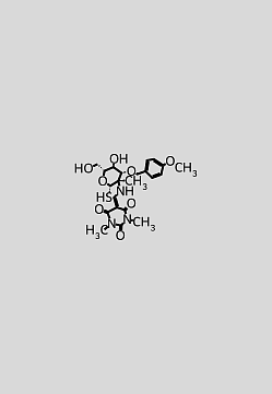 COc1ccc(CO[C@H]2[C@H](O)[C@@H](CO)O[C@@H](S)[C@@]2(C)NC=C2C(=O)N(C)C(=O)N(C)C2=O)cc1